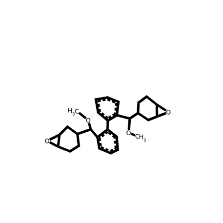 COC(c1ccccc1-c1ccccc1C(OC)C1CCC2OC2C1)C1CCC2OC2C1